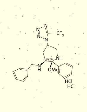 CO[C@]1(c2ccccc2)NCC(n2nnnc2C(F)(F)F)C[C@@H]1NCc1ccccc1.Cl.Cl